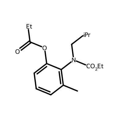 CCOC(=O)N(CC(C)C)c1c(C)cccc1OC(=O)CC